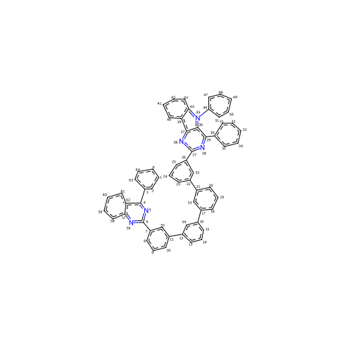 c1ccc(-c2nc(-c3cccc(-c4cccc(-c5cccc(-c6cccc(-c7nc(-c8ccccc8)c8c(n7)c7ccccc7n8-c7ccccc7)c6)c5)c4)c3)nc3ccccc23)cc1